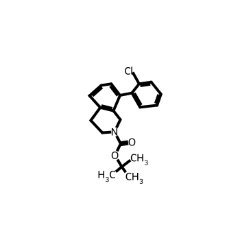 CC(C)(C)OC(=O)N1CCc2cccc(-c3ccccc3Cl)c2C1